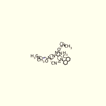 Cc1cccc2cccc(N3Cc4nc(OC[C@@H]5CCCN5C)nc(N5CCN(C(=O)/C=C/CN(C)C)[C@@H](CC#N)C5)c4CC34CC4)c12